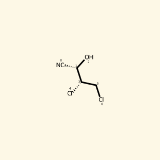 N#C[C@H](O)[C@@H](Cl)CCl